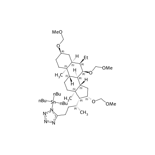 CCC[CH2][Sn]([CH2]CCC)([CH2]CCC)[n]1nnnc1CC[C@@H](C)[C@H]1[C@@H](OCOC)C[C@H]2[C@@H]3[C@H](OCOC)[C@H](CC)[C@@H]4C[C@H](OCOC)CC[C@]4(C)[C@H]3CC[C@]12C